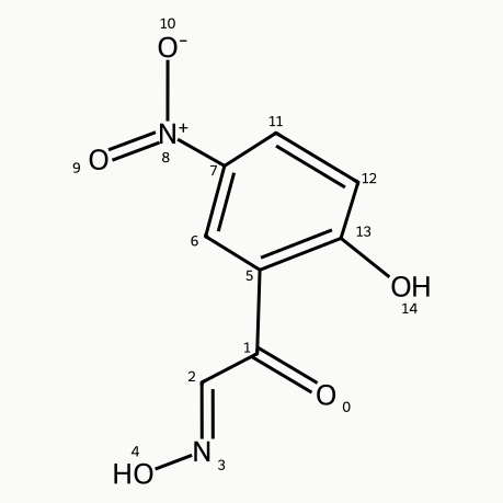 O=C(C=NO)c1cc([N+](=O)[O-])ccc1O